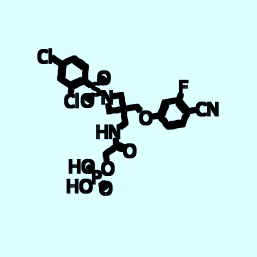 N#Cc1ccc(OCC2(CNC(=O)COP(=O)(O)O)CN(S(=O)(=O)c3ccc(Cl)cc3Cl)C2)cc1F